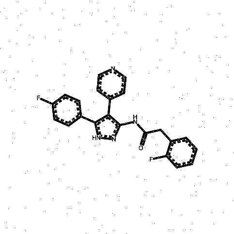 O=C(Cc1ccccc1F)Nc1n[nH]c(-c2ccc(F)cc2)c1-c1ccncc1